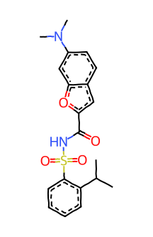 CC(C)c1ccccc1S(=O)(=O)NC(=O)c1cc2ccc(N(C)C)cc2o1